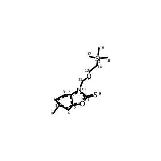 Cc1ccc2c(c1)oc(=S)n2COCC[Si](C)(C)C